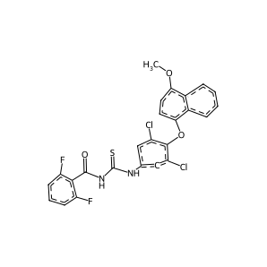 COc1ccc(Oc2c(Cl)cc(NC(=S)NC(=O)c3c(F)cccc3F)cc2Cl)c2ccccc12